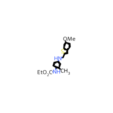 CCOC(=O)Nc1ccc(NCc2cc3ccc(OC)cc3s2)cc1C